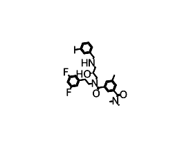 Cc1cc(C(=O)N(C)C)cc(C(=O)N(CCc2cc(F)cc(F)c2)C[C@H](O)CNCc2cccc(I)c2)c1